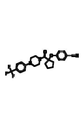 N#Cc1ccc(OC2(C(=O)N3CCN(c4ccc(C(F)(F)F)cc4)CC3)CCCC2)cc1